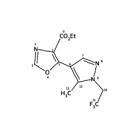 CCOC(=O)c1ncoc1-c1cnn(CC(F)(F)F)c1C